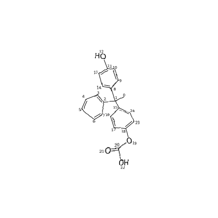 CC(c1ccccc1)(c1ccc(O)cc1)c1ccc(OC(=O)O)cc1